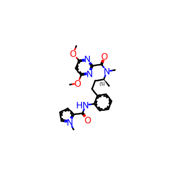 COc1cc(OC)nc(C(=O)N(C)[C@@H](C)CCc2ccccc2NC(=O)c2cccn2C)n1